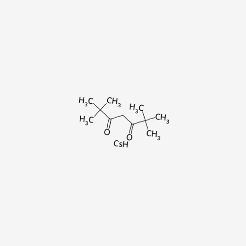 CC(C)(C)C(=O)CC(=O)C(C)(C)C.[CsH]